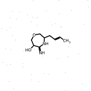 CC=CCC1COCC(O)C(=N)N1